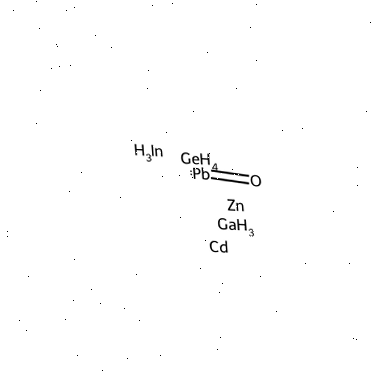 [Cd].[GaH3].[GeH4].[InH3].[O]=[Pb].[Zn]